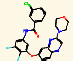 O=C(Nc1cc(F)c(F)c(Oc2ccc3ncc(N4CCOCC4)nc3c2)c1)c1cccc(Cl)c1